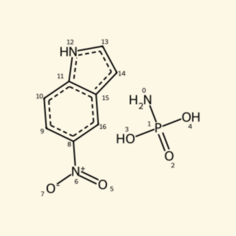 NP(=O)(O)O.O=[N+]([O-])c1ccc2[nH]ccc2c1